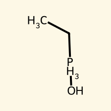 CC[PH3]O